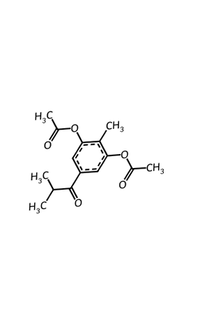 CC(=O)Oc1cc(C(=O)C(C)C)cc(OC(C)=O)c1C